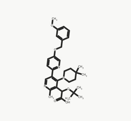 COc1cccc(COc2ccc(-c3cnc(C)c(C(OC(C)(C)C)C(=O)O)c3N3CCC(C)(C)CC3)nc2)c1